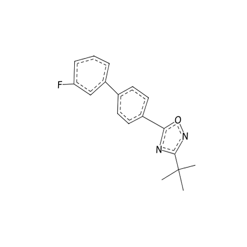 CC(C)(C)c1noc(-c2ccc(-c3cccc(F)c3)cc2)n1